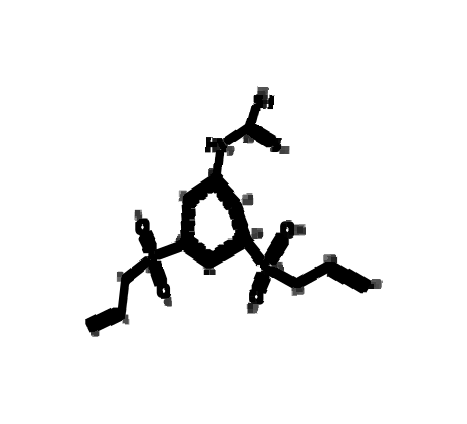 C=CCS(=O)(=O)c1cc(NC(=S)S)cc(S(=O)(=O)CC=C)c1